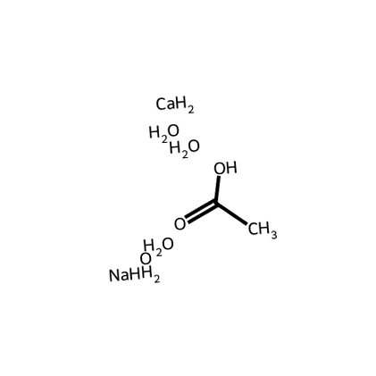 CC(=O)O.O.O.O.O.[CaH2].[NaH]